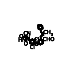 CN(CCc1cc(Oc2c(Cl)cc(-n3nc(C#N)c(=O)[nH]c3=O)cc2Cl)ccc1C=O)Cc1ccccc1